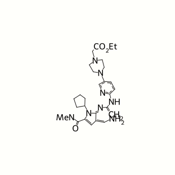 C=C(/N=C1\C(=C/N)C=C(C(=O)NC)N1C1CCCC1)Nc1ccc(N2CCN(CC(=O)OCC)CC2)cn1